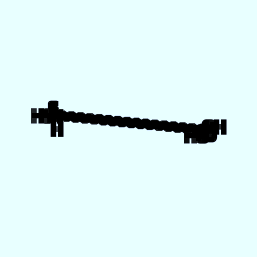 O=P(O)(O)CCCCCCCCCCCCCCCCCCCCCCCCCCCCCCCNC(=S)S